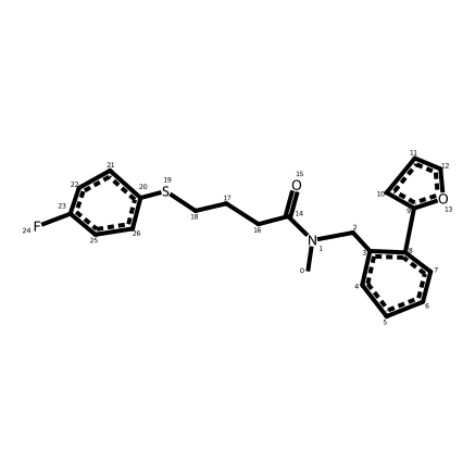 CN(Cc1ccccc1-c1ccco1)C(=O)CCCSc1ccc(F)cc1